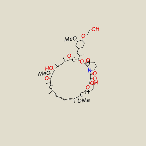 CO[C@H]1C[C@H]2CC[C@H](C)[C@](O)(O2)C(=O)C(=O)N2CCCC[C@H]2C(=O)OC([C@@H](C)C[C@@H]2CC[C@@H](OCCO)[C@H](OC)C2)CC(=O)[C@H](C)/C=C(\C)[C@@H](O)[C@@H](OC)C(=O)[C@H](C)C[C@H](C)/C=C/C=C/C=C/1C